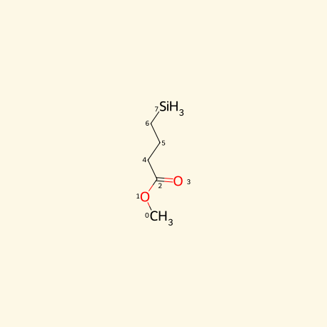 COC(=O)CCC[SiH3]